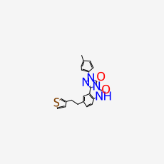 Cc1ccc(-n2nc3c4cc(CCc5ccsc5)ccc4[nH]c(=O)n3c2=O)cc1